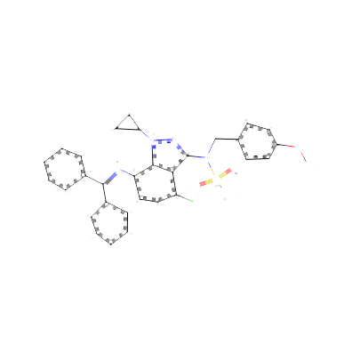 COc1ccc(CN(c2nn(C3CC3)c3c(N=C(c4ccccc4)c4ccccc4)ccc(Cl)c23)S(C)(=O)=O)cc1